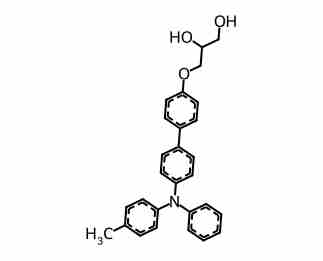 Cc1ccc(N(c2ccccc2)c2ccc(-c3ccc(OCC(O)CO)cc3)cc2)cc1